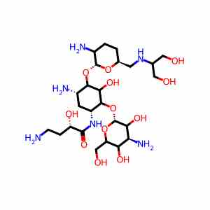 NCC[C@H](O)C(=O)N[C@@H]1C[C@H](N)C(O[C@H]2O[C@H](CNC(CO)CO)CCC2N)C(O)C1O[C@H]1OC(CO)C(O)[C@H](N)C1O